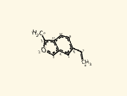 [CH2]c1occ2cc(C=C)ccc12